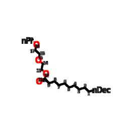 CCCCCCCCCCCCCCCCCCCC(=O)OCCOCCOCCC